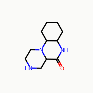 O=C1NC2CCCCC2N2CCNCC12